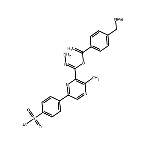 C=C(O/C(=N\N)c1nc(-c2ccc(S(=O)(=O)CC)cc2)cnc1C)c1ccc(CNC)cc1